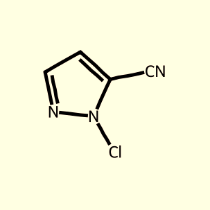 N#Cc1ccnn1Cl